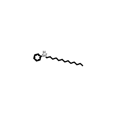 CCCCCCCCCCCC[CH2][SnH2][c]1ccccc1